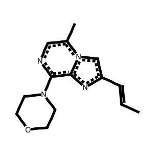 C/C=C/c1cn2c(C)cnc(N3CCOCC3)c2n1